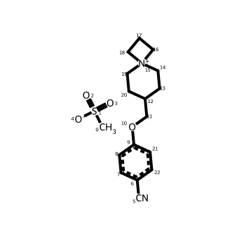 CS(=O)(=O)[O-].N#Cc1ccc(OCC2CC[N+]3(CCC3)CC2)cc1